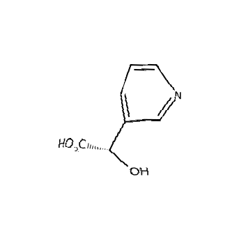 O=C(O)[C@@H](O)c1cccnc1